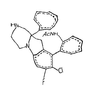 CC(=O)Nc1ccccc1-c1c(Cl)c(F)cc2c1CC1(c3ccccc3)CNCCN21